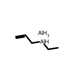 C=C[CH2][AlH][CH2]C.[AlH3]